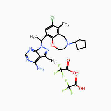 Cc1c(Cl)cc(C(C)n2nc(C)c3c(N)ncnc32)c2c1CN(C1CCCC1)CCO2.O=C(O)C(F)(F)F.O=C(O)C(F)(F)F